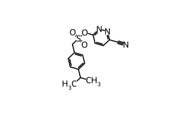 CC(C)c1ccc(CS(=O)(=O)Oc2ccc(C#N)nn2)cc1